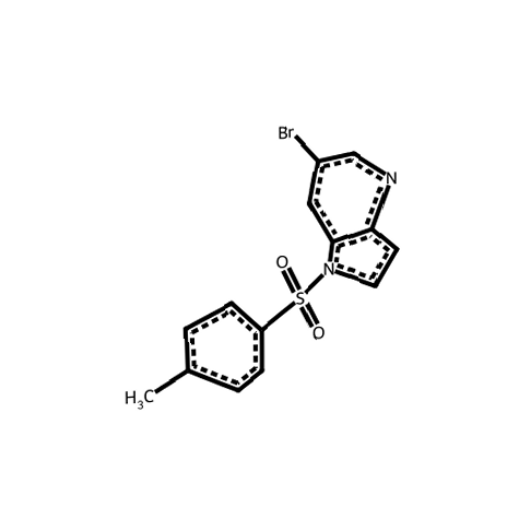 Cc1ccc(S(=O)(=O)n2ccc3ncc(Br)cc32)cc1